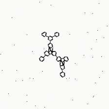 c1ccc(-c2ccc(-n3c4ccccc4c4cc(-c5ccc6c(c5)c5cc(-c7ccccc7)ccc5n6-c5ccc(-c6cc(-c7ccccc7)cc(-c7ccccc7)c6)cc5)ccc43)cc2)cc1